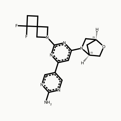 Nc1ncc(-c2cc(N3C[C@@H]4C[C@H]3CO4)nc(N3CC4(CCC4(F)F)C3)n2)cn1